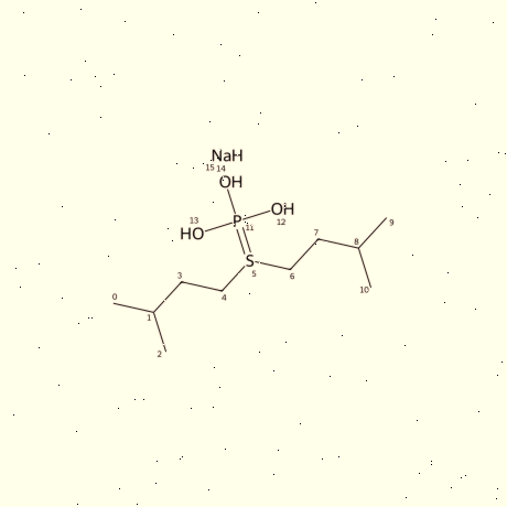 CC(C)CCS(CCC(C)C)=P(O)(O)O.[NaH]